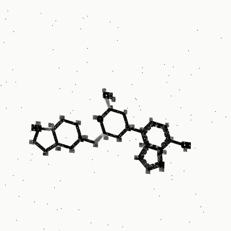 C[C@@H]1CN(c2ccc(C#N)n3nccc23)C[C@H](CN2CCC3NCCC3C2)O1